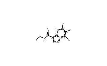 CCNC(=O)c1cnn2c(C)c(C)c(C)nc12